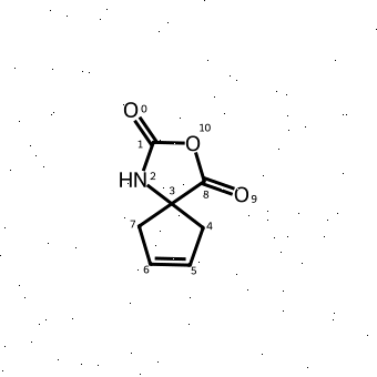 O=C1NC2(CC=CC2)C(=O)O1